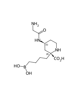 NCC(=O)N[C@H]1CCN[C@@](CCCCB(O)O)(C(=O)O)C1